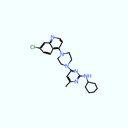 Cc1cc(N2CCN(c3ccnc4cc(Cl)ccc34)CC2)nc(NC2CCCCC2)n1